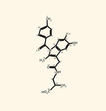 Cc1ccc(C(=S)n2c(C)c(CC(=O)NCC(C)C(=O)O)c3cc(O)c(F)cc32)cc1